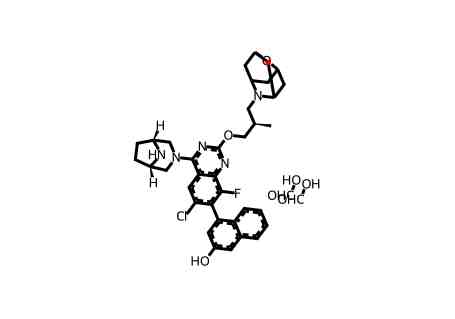 C[C@@H](COc1nc(N2C[C@H]3CC[C@@H](C2)N3)c2cc(Cl)c(-c3cc(O)cc4ccccc34)c(F)c2n1)CN1C2CC3CC1CC(C2)O3.O=CO.O=CO